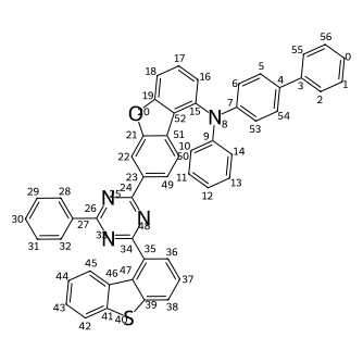 c1ccc(-c2ccc(N(c3ccccc3)c3cccc4oc5cc(-c6nc(-c7ccccc7)nc(-c7cccc8sc9ccccc9c78)n6)ccc5c34)cc2)cc1